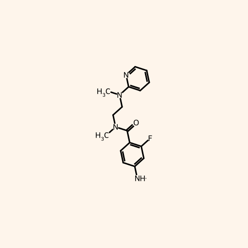 CN(CCN(C)c1ccccn1)C(=O)c1ccc([NH])cc1F